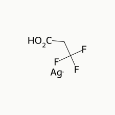 O=C(O)CC(F)(F)F.[Ag]